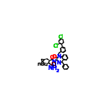 CCCC[C@H](C(N)=O)[C@@H](CC1CC1)C(=O)NC1N=C(c2ccccc2)c2ccccc2N(Cc2cccc(-c3ccc(Cl)cc3Cl)c2)C1=O